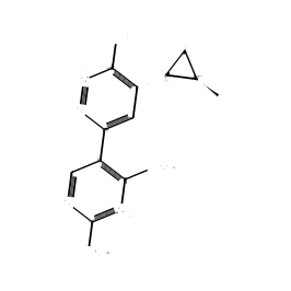 COc1ncc(-c2cc([C@@H]3C[C@H]3C(C)C)c(C)nn2)c(OC)n1